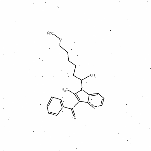 COCCCCCC(C)n1c(C)c(C(=O)c2ccccc2)c2ccccc21